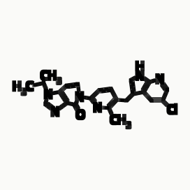 Cc1nc(-n2ccc3c(ncn3C(C)C)c2=O)ccc1Cc1c[nH]c2ncc(Cl)cc12